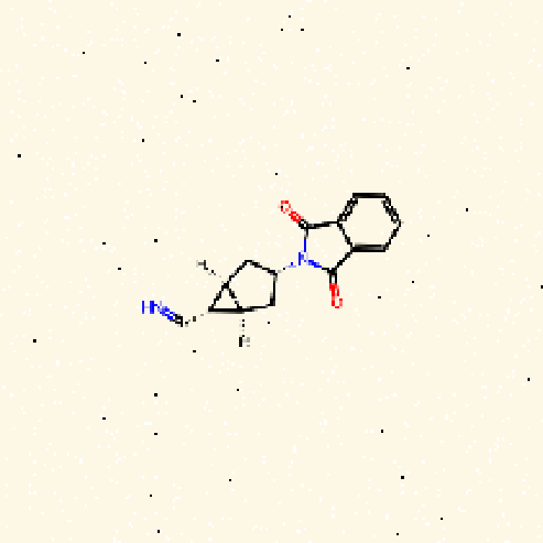 N=C[C@@H]1[C@H]2C[C@H](N3C(=O)c4ccccc4C3=O)C[C@@H]12